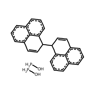 C1=CC(C2C=Cc3cccc4cccc2c34)c2cccc3cccc1c23.OP.OP